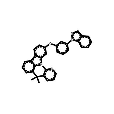 CC1(C)c2cccnc2-n2c3cc(Oc4cccc(-n5ncc6ccccc65)c4)ccc3c3cccc1c32